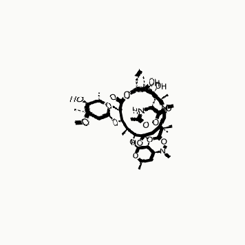 CC[C@H]1OC(=O)[C@H](C)[C@@H](O[C@H]2C[C@@](C)(OC)[C@@H](O)[C@H](C)O2)[C@H](C)[C@@H](O[C@@H]2O[C@H](C)C[C@H](N(C)C)[C@H]2OC(=O)[C@H](C)OC(=O)[C@@H](CS)NC(C)=O)[C@](C)(O)C[C@@H](C)CN(C)[C@H](C)[C@@H](O)[C@]1(C)O